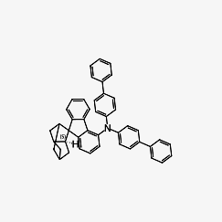 c1ccc(-c2ccc(N(c3ccc(-c4ccccc4)cc3)c3cccc4c3-c3ccccc3C43C4CC5CC(C4)[C@@H]3C5)cc2)cc1